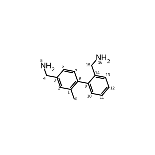 Cc1cc(CN)ccc1-c1ccccc1CN